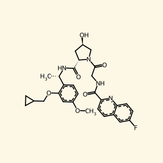 COc1ccc([C@H](C)NC(=O)[C@@H]2C[C@@H](O)CN2C(=O)CNC(=O)c2ccc3cc(F)ccc3n2)c(OCC2CC2)c1